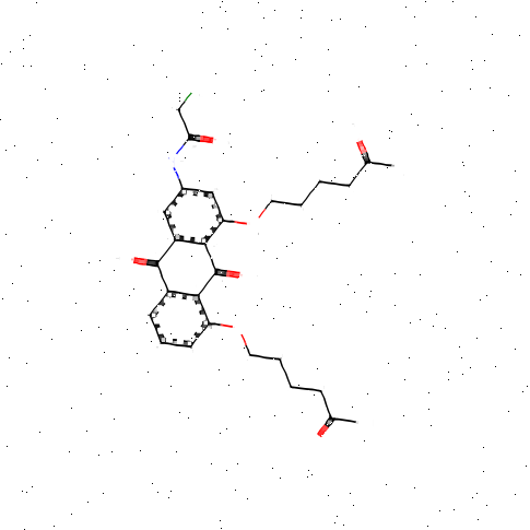 CC(=O)CCCCOc1cccc2c1C(=O)c1c(OCCCCC(C)=O)cc(NC(=O)CCl)cc1C2=O